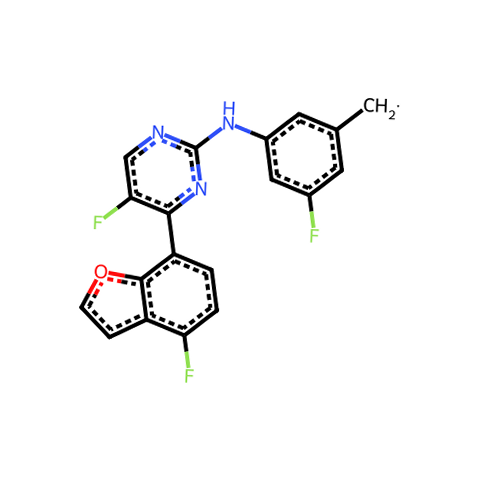 [CH2]c1cc(F)cc(Nc2ncc(F)c(-c3ccc(F)c4ccoc34)n2)c1